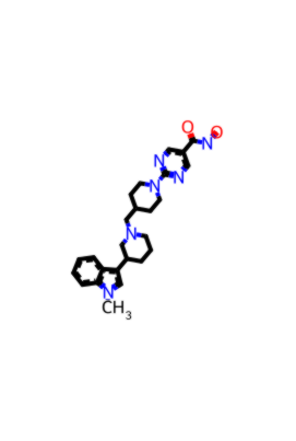 Cn1cc(C2CCCN(CC3CCN(c4ncc(C(=O)N=O)cn4)CC3)C2)c2ccccc21